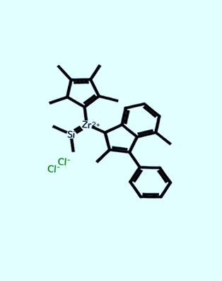 CC1=C(C)C(C)[C]([Zr+2]([CH]2C(C)=C(c3ccccc3)c3c(C)cccc32)=[Si](C)C)=C1C.[Cl-].[Cl-]